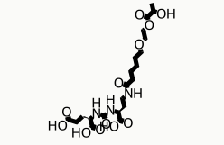 CC(O)C(=O)OCCOCCCCCC(=O)NCC[C@H](NC(=O)N[C@@H](CCC(=O)O)C(=O)O)C(=O)O